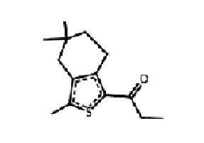 CCC(=O)c1sc(C)c2c1CCC(C)(C)C2